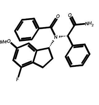 COc1cc(F)c2c(c1)[C@H](N(C(=O)c1ccccc1)[C@H](C(N)=O)c1ccccc1)CC2